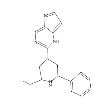 CCC1CC(c2ncc3nccc-3[nH]2)CC(c2ccccc2)N1